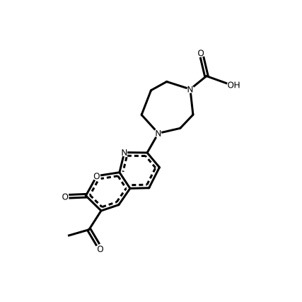 CC(=O)c1cc2ccc(N3CCCN(C(=O)O)CC3)nc2oc1=O